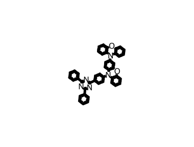 c1ccc(-c2nc(-c3ccccc3)nc(-c3ccc(N4c5ccccc5Oc5cc(N6c7ccccc7Oc7ccccc76)ccc54)cc3)n2)cc1